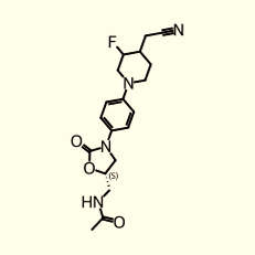 CC(=O)NC[C@H]1CN(c2ccc(N3CCC(CC#N)C(F)C3)cc2)C(=O)O1